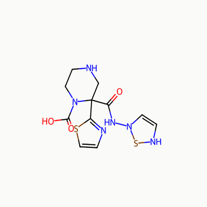 O=C(O)N1CCNCC1(C(=O)NN1C=CNS1)c1nccs1